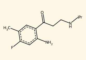 Cc1cc(C(=O)CCNC(C)C)c(N)cc1F